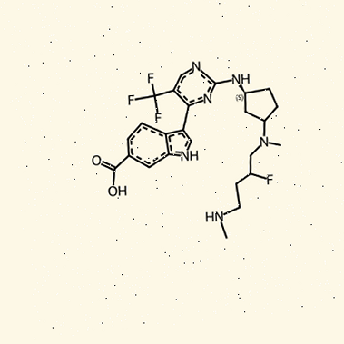 CNCCC(F)CN(C)C1CC[C@H](Nc2ncc(C(F)(F)F)c(-c3c[nH]c4cc(C(=O)O)ccc34)n2)C1